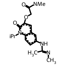 C/N=C(\C)Nc1ccc2c(c1)cc(OCC(=O)NC)c(=O)n2C(C)C